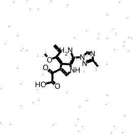 C=C/C(OC)=c1/c(C(=O)C(=O)O)c[nH]/c1=C(/N)n1cnc(C)n1